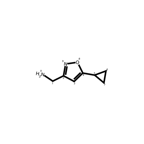 NCc1cc(C2CC2)on1